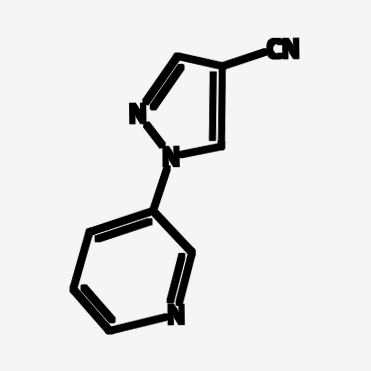 N#Cc1cnn(-c2cccnc2)c1